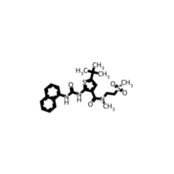 CN(CCS(C)(=O)=O)C(=O)c1cc(C(C)(C)C)sc1NC(=O)Nc1cccc2ccccc12